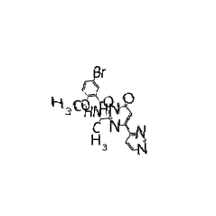 COc1ccc(Br)cc1C(=O)NC(C)c1nc(-c2ccncn2)cc(=O)[nH]1